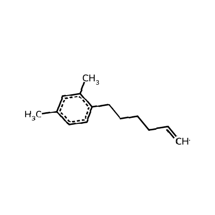 [CH]=CCCCCc1ccc(C)cc1C